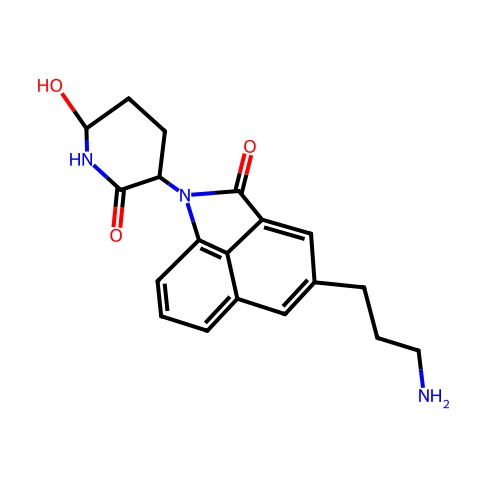 NCCCc1cc2c3c(cccc3c1)N(C1CCC(O)NC1=O)C2=O